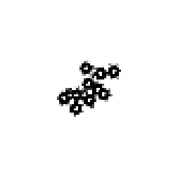 c1ccc(-c2ccc(N(c3ccccc3)c3ccc(-n4c5cc6oc7ccccc7c6c(-c6ccccc6)c5c5cccc(-c6cccc7ccccc67)c54)cc3)cc2)cc1